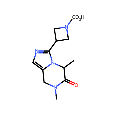 CC1C(=O)N(C)Cc2cnc(C3CN(C(=O)O)C3)n21